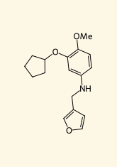 COc1ccc(NCc2ccoc2)cc1OC1CCCC1